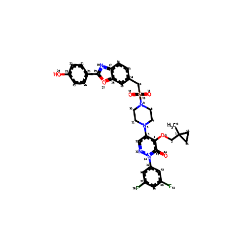 CC1(COc2c(N3CCN(S(=O)(=O)Cc4ccc5nc(-c6ccc(O)cc6)oc5c4)CC3)cnn(-c3cc(F)cc(F)c3)c2=O)CC1